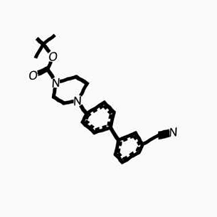 CC(C)(C)OC(=O)N1CCN(c2ccc(-c3cccc(C#N)c3)cc2)CC1